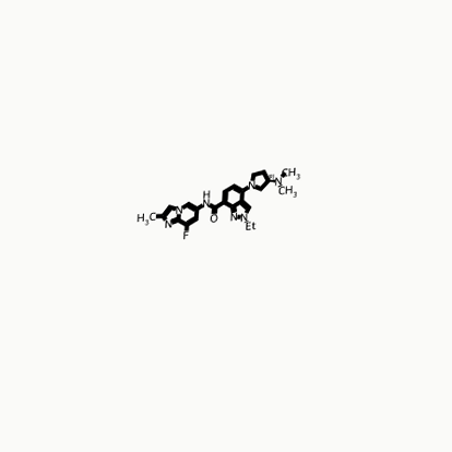 CCn1cc2c(N3CC[C@@H](N(C)C)C3)ccc(C(=O)Nc3cc(F)c4nc(C)cn4c3)c2n1